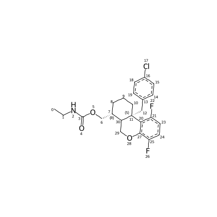 CCNC(=O)OC[C@@H]1CCC[C@@]2(Cc3ccc(Cl)cc3)c3c(F)ccc(F)c3OCC12